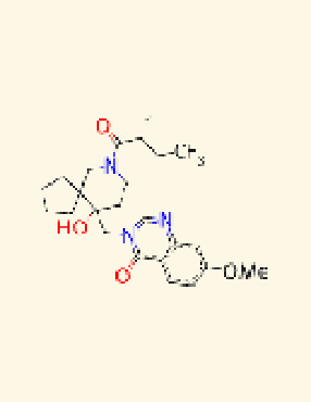 COc1ccc2c(=O)n(CC3(O)CCN(C(=O)[C@H](C)CC(F)(F)F)CC34CCCC4)cnc2c1